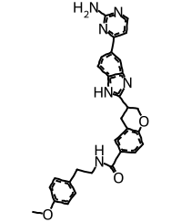 COc1ccc(CCNC(=O)c2ccc3c(c2)CC(c2nc4cc(-c5ccnc(N)n5)ccc4[nH]2)CO3)cc1